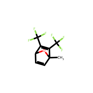 CC12C=CC(O1)C(C(F)(F)F)=C2C(F)(F)F